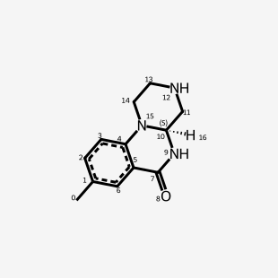 Cc1ccc2c(c1)C(=O)N[C@@H]1CNCCN21